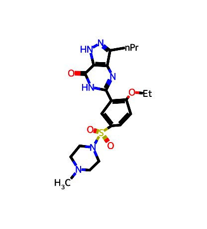 CCCc1n[nH]c2c(=O)[nH]c(-c3cc(S(=O)(=O)N4CCN(C)CC4)ccc3OCC)nc12